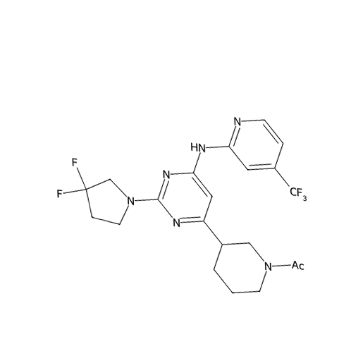 CC(=O)N1CCCC(c2cc(Nc3cc(C(F)(F)F)ccn3)nc(N3CCC(F)(F)C3)n2)C1